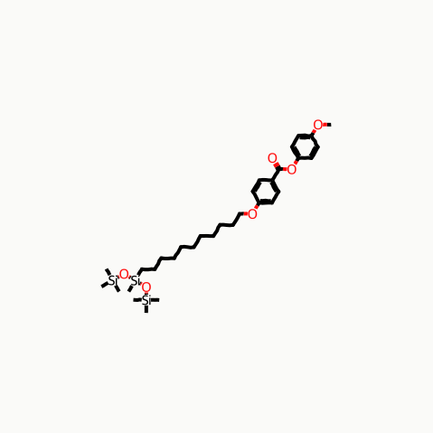 COc1ccc(OC(=O)c2ccc(OCCCCCCCCCCC[Si](C)(O[Si](C)(C)C)O[Si](C)(C)C)cc2)cc1